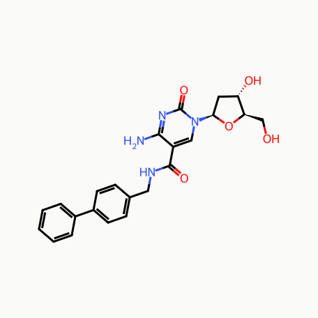 Nc1nc(=O)n([C@H]2C[C@H](O)[C@@H](CO)O2)cc1C(=O)NCc1ccc(-c2ccccc2)cc1